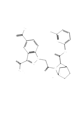 NC(=O)c1ccc2c(c1)c(C(N)=O)nn2CC(=O)N1C(C(=O)Nc2cccc(Cl)n2)[C@H]2CC[C@@H]1C2